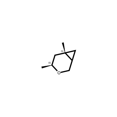 C[C@H]1C[C@]2(C)CC2CO1